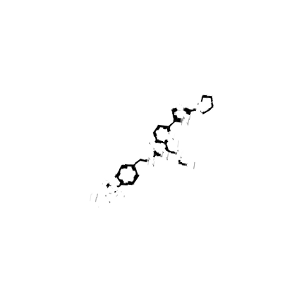 NS(=O)(=O)c1ccc(CNc2nc(NCC(F)(F)F)c3nc(-c4csc(N5CCCC5)n4)ccc3n2)cc1